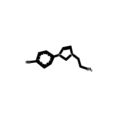 CCCN1C=CN(c2ccc(O)cc2)C1